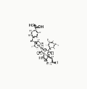 Cc1cc(C)cc(S(=O)(=O)c2c(C(=O)NC3CCN(Cc4ccc(B(O)O)cc4)CC3)[nH]c3ccc(Cl)cc23)c1